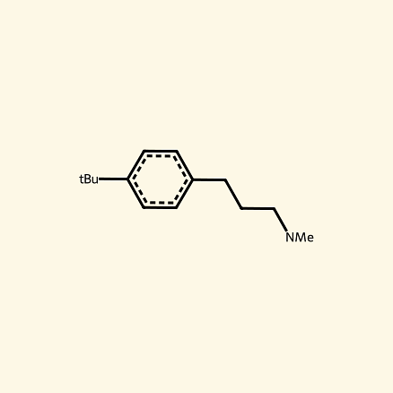 CNCCCc1ccc(C(C)(C)C)cc1